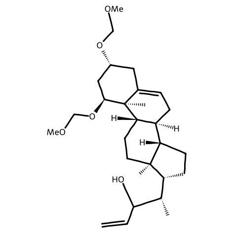 C=CC(O)[C@@H](C)[C@H]1CC[C@H]2[C@@H]3CC=C4C[C@@H](OCOC)C[C@H](OCOC)[C@]4(C)[C@H]3CC[C@]12C